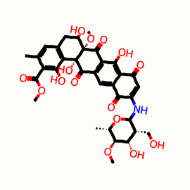 COC(=O)c1c(C)cc2c(c1O)[C@]1(O)C(=O)c3cc4c(c(O)c3C(=O)[C@]1(OC)C(O)C2)C(=O)C=C(NC1O[C@@H](C)[C@H](OC)[C@@H](O)[C@H]1CO)C4=O